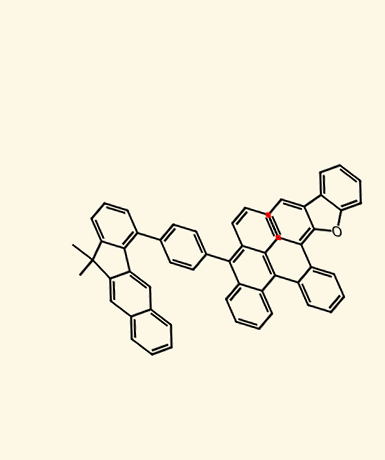 CC1(C)c2cc3ccccc3cc2-c2c(-c3ccc(-c4c5ccccc5c(-c5ccccc5-c5cccc6c5oc5ccccc56)c5ccccc45)cc3)cccc21